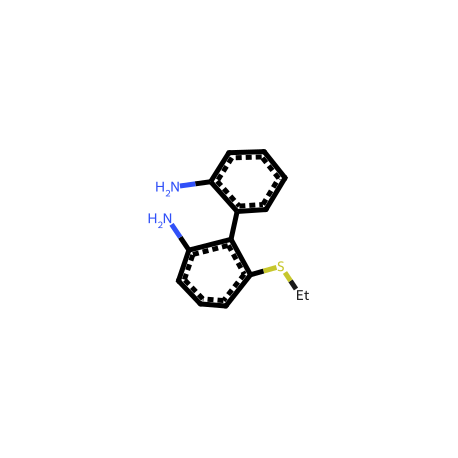 CCSc1cccc(N)c1-c1ccccc1N